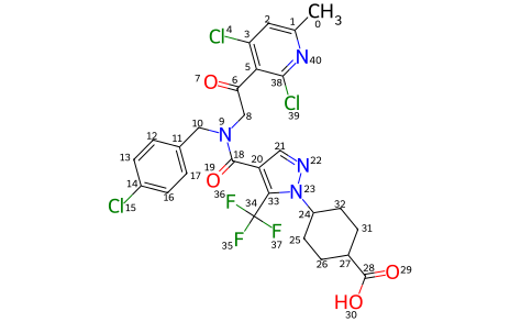 Cc1cc(Cl)c(C(=O)CN(Cc2ccc(Cl)cc2)C(=O)c2cnn(C3CCC(C(=O)O)CC3)c2C(F)(F)F)c(Cl)n1